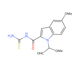 COc1ccc2c(c1)cc(C(=O)NC(N)=S)n2C(C=O)OC